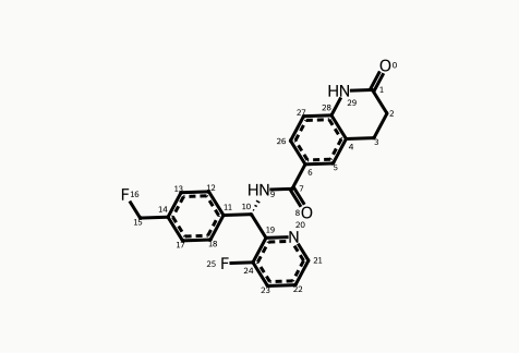 O=C1CCc2cc(C(=O)N[C@@H](c3ccc(CF)cc3)c3ncccc3F)ccc2N1